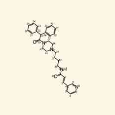 O=C(C=Cc1cccnc1)NCCCCN1CCN(C(=O)C(c2ccccc2)c2ccccc2)CC1